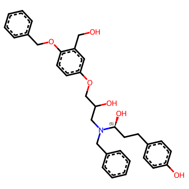 OCc1cc(OCC(O)CN(Cc2ccccc2)[C@@H](O)CCc2ccc(O)cc2)ccc1OCc1ccccc1